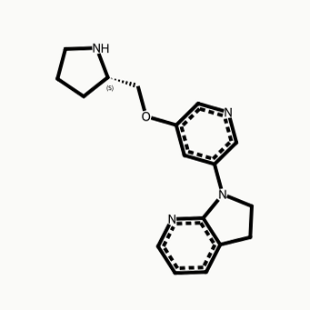 c1cnc2c(c1)CCN2c1cncc(OC[C@@H]2CCCN2)c1